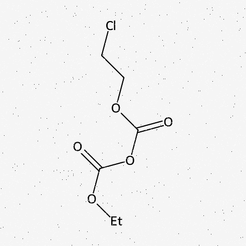 CCOC(=O)OC(=O)OCCCl